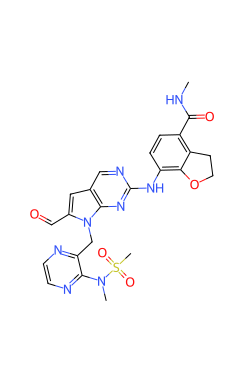 CNC(=O)c1ccc(Nc2ncc3cc(C=O)n(Cc4nccnc4N(C)S(C)(=O)=O)c3n2)c2c1CCO2